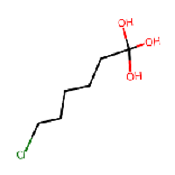 OC(O)(O)CCCCCCl